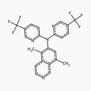 Cc1cc(N(c2ccc(C(F)(F)F)cn2)c2ccc(C(F)(F)F)cn2)c(C)c2ccncc12